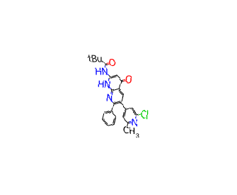 Cc1cc(-c2cc3c(=O)cc(NC(=O)C(C)(C)C)[nH]c3nc2-c2ccccc2)cc(Cl)n1